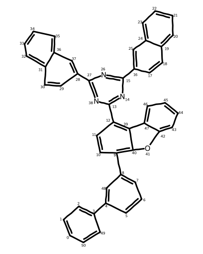 c1ccc(-c2cccc(-c3ccc(-c4nc(-c5ccc6ccccc6c5)nc(-c5ccc6ccccc6c5)n4)c4c3oc3ccccc34)c2)cc1